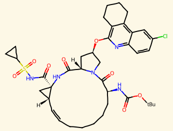 CC(C)(C)OC(=O)N[C@H]1CCCCC/C=C\[C@@H]2C[C@@]2(C(=O)NS(=O)(=O)C2CC2)NC(=O)[C@@H]2C[C@@H](Oc3nc4ccc(Cl)cc4c4c3CCCC4)CN2C1=O